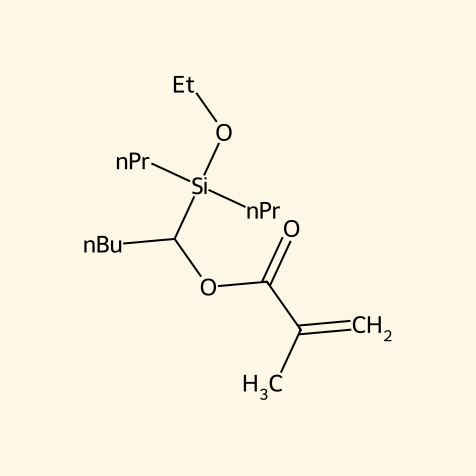 C=C(C)C(=O)OC(CCCC)[Si](CCC)(CCC)OCC